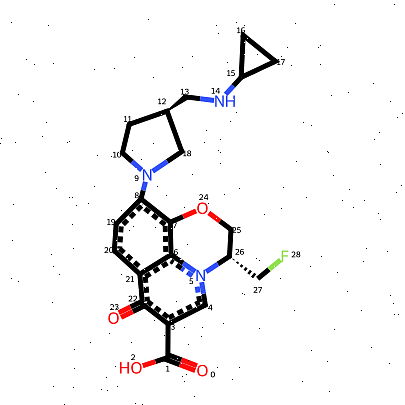 O=C(O)c1cn2c3c(c(N4CC[C@@H](CNC5CC5)C4)ccc3c1=O)OC[C@@H]2CF